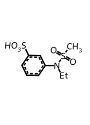 CCN(c1cccc(S(=O)(=O)O)c1)S(C)(=O)=O